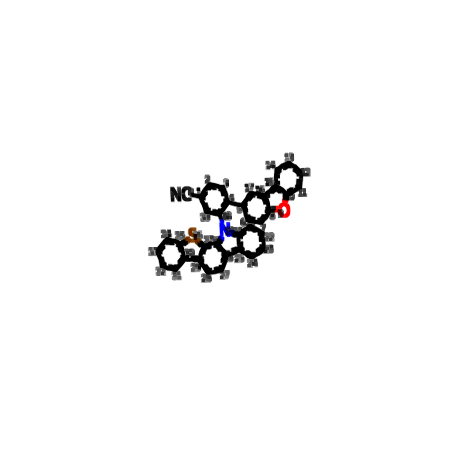 N#Cc1ccc(-c2ccc3oc4ccccc4c3c2)c(-n2c3ccccc3c3ccc4c5ccccc5sc4c32)c1